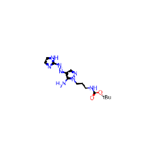 CC(C)(C)OC(=O)NCCCn1ncc(/N=N/c2ncc[nH]2)c1N